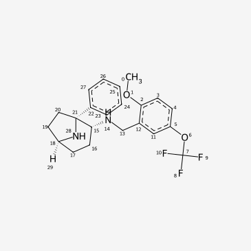 COc1ccc(OC(F)(F)F)cc1CN[C@@H]1CC[C@H]2CC[C@]1(c1ccccc1)N2